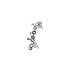 C[C@@H]1c2ccsc2CCN1C(=O)c1cc(C2CC2)n2nc(-c3ccc(N4CC[C@H](C(C)(C)C(=O)O)C4)cc3F)cc2n1